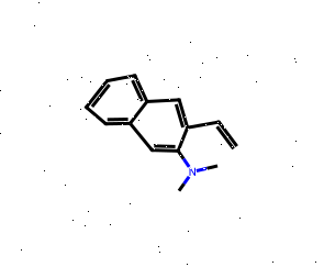 C=Cc1cc2ccccc2cc1N(C)C